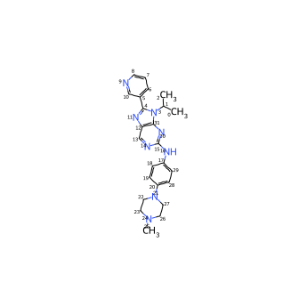 CC(C)n1c(-c2cccnc2)nc2cnc(Nc3ccc(N4CCN(C)CC4)cc3)nc21